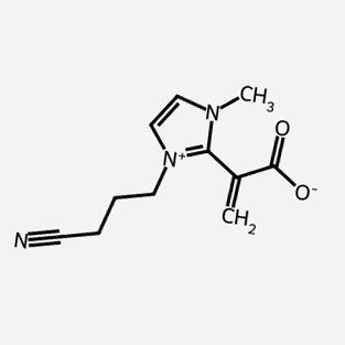 C=C(C(=O)[O-])c1n(C)cc[n+]1CCCC#N